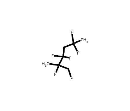 CC(F)(F)CC(F)(F)C(C)(F)CF